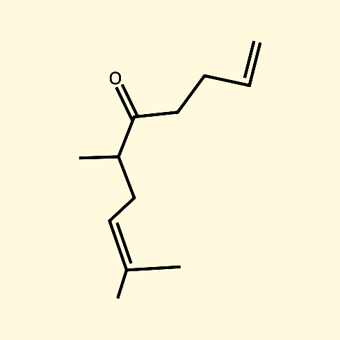 C=CCCC(=O)C(C)CC=C(C)C